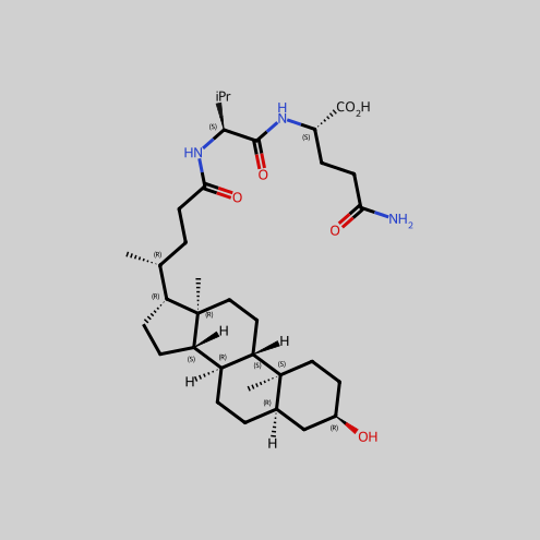 CC(C)[C@H](NC(=O)CC[C@@H](C)[C@H]1CC[C@H]2[C@@H]3CC[C@@H]4C[C@H](O)CC[C@]4(C)[C@H]3CC[C@]12C)C(=O)N[C@@H](CCC(N)=O)C(=O)O